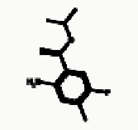 Cc1cc(N)c(C(=O)OC(C)C)cc1F